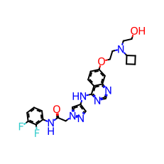 O=C(Cn1cc(Nc2ncnc3cc(OCCN(CCO)C4CCC4)ccc23)cn1)Nc1cccc(F)c1F